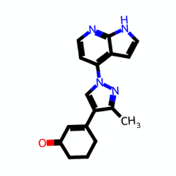 Cc1nn(-c2ccnc3[nH]ccc23)cc1C1=CC(=O)CCC1